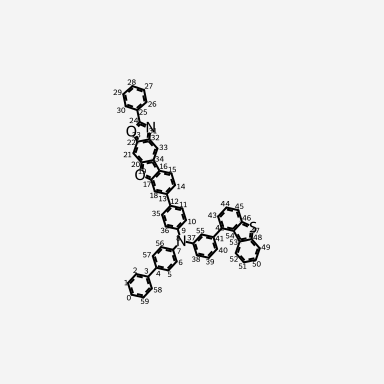 c1ccc(-c2ccc(N(c3ccc(-c4ccc5c(c4)oc4cc6oc(-c7ccccc7)nc6cc45)cc3)c3cccc(-c4cccc5sc6ccccc6c45)c3)cc2)cc1